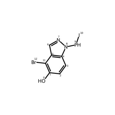 Oc1ccc2c(cnn2PI)c1Br